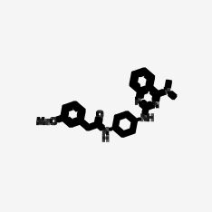 COc1cccc(CC(=O)N[C@H]2CC[C@@H](Nc3nc(N(C)C)c4ccccc4n3)CC2)c1